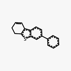 C1=Cc2c(sc3cc(-c4ccccc4)ccc23)CC1